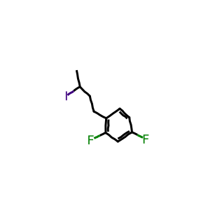 CC(I)CCc1ccc(F)cc1F